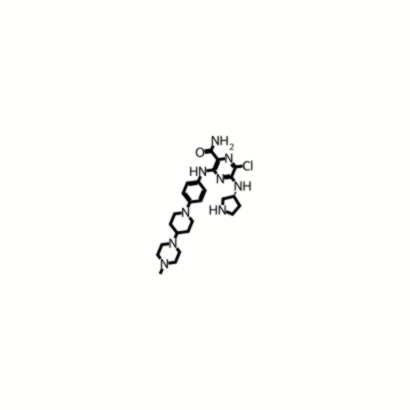 CN1CCN(C2CCN(c3ccc(Nc4nc(N[C@@H]5CCNC5)c(Cl)nc4C(N)=O)cc3)CC2)CC1